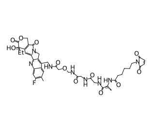 CC[C@@]1(O)C(=O)OCc2c1cc1n(c2=O)Cc2c-1nc1cc(F)c(C)cc1c2CNC(=O)COCNC(=O)CNC(=O)CNC(=O)[C@H](C)NC(=O)CCCCCN1C(=O)C=CC1=O